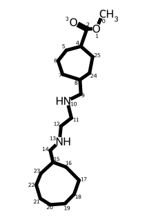 COC(=O)C1CCCC(CNCCNCC2CCCCCCCC2)CC1